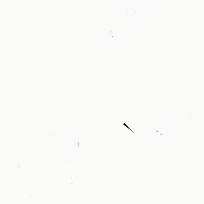 Cc1c[nH]c2ncc(-c3cc4c(c([C@@H]5CCCN5C(=O)O)c3)CN(C(=O)[C@](C)(O)C(F)(F)F)C4)cc12